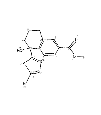 COC(=O)c1ccc2c(c1)CCCC2(O)c1ncc(Br)s1